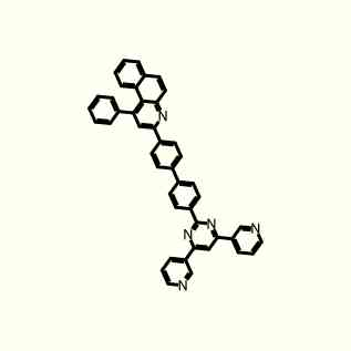 c1ccc(-c2cc(-c3ccc(-c4ccc(-c5nc(-c6cccnc6)cc(-c6cccnc6)n5)cc4)cc3)nc3ccc4ccccc4c23)cc1